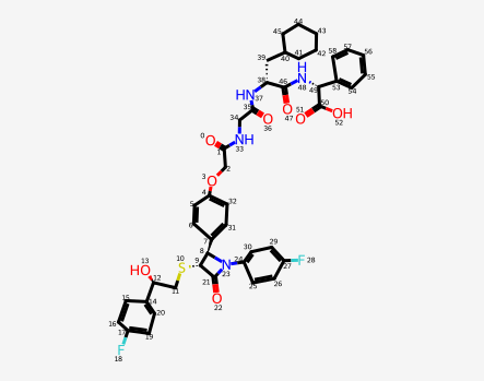 O=C(COc1ccc([C@@H]2[C@@H](SC[C@H](O)c3ccc(F)cc3)C(=O)N2c2ccc(F)cc2)cc1)NCC(=O)N[C@H](CC1CCCCC1)C(=O)N[C@@H](C(=O)O)c1ccccc1